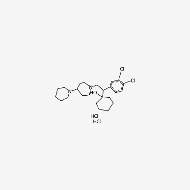 Cl.Cl.OC1(C(CN2CCC(N3CCCCC3)CC2)c2ccc(Cl)c(Cl)c2)CCCCC1